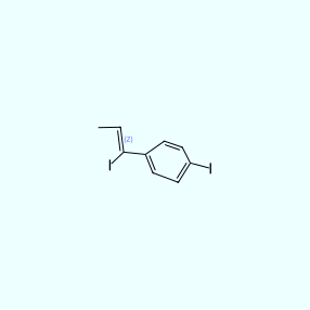 C/C=C(\I)c1ccc(I)cc1